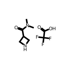 CN(C)C(=O)C1CNC1.O=C(O)C(F)(F)F